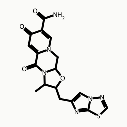 CC1C(Cc2cn3ncsc3n2)OC2Cn3cc(C(N)=O)c(=O)cc3C(=O)N21